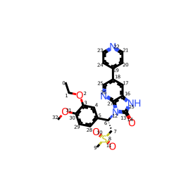 CCOc1cc([C@@H](CS(C)(=O)=O)n2c(=O)[nH]c3cc(-c4ccncc4)cnc32)ccc1OC